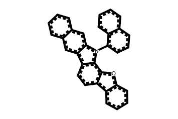 c1ccc2cc3c(cc2c1)c1ccc2c4ccccc4oc2c1n3-c1cccc2ccccc12